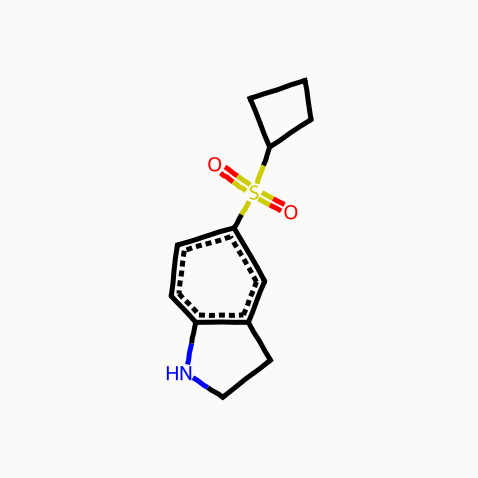 O=S(=O)(c1ccc2c(c1)CCN2)C1CCC1